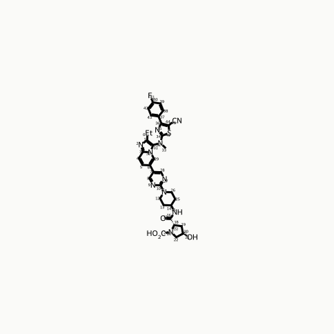 CCc1nc2ccc(-c3cnc(N4CCC(NC(=O)[C@@H]5C[C@@H](O)CN5C(=O)O)CC4)nc3)cn2c1N(C)c1nc(-c2ccc(F)cc2)c(C#N)s1